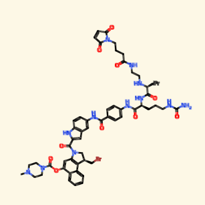 CC(C)[C@H](NCCNC(=O)CCCN1C(=O)C=CC1=O)C(=O)N[C@@H](CCCNC(N)=O)C(=O)Nc1ccc(C(=O)Nc2ccc3[nH]c(C(=O)N4C[C@@H](CBr)c5c4cc(OC(=O)N4CCN(C)CC4)c4ccccc54)cc3c2)cc1